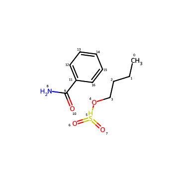 CCCCO[SH](=O)=O.NC(=O)c1ccccc1